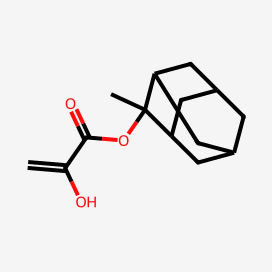 C=C(O)C(=O)OC1(C)C2CC3CC(C2)CC1C3